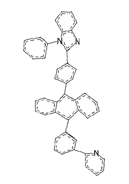 c1ccc(-n2c(-c3ccc(-c4c5ccccc5c(-c5cccc(-c6ccccn6)c5)c5ccccc45)cc3)nc3ccccc32)cc1